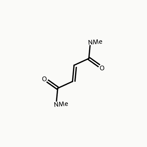 CNC(=O)C=CC(=O)NC